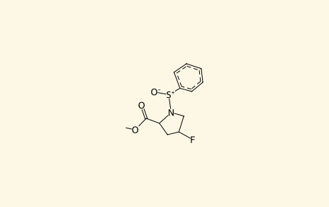 COC(=O)C1CC(F)CN1[S+]([O-])c1ccccc1